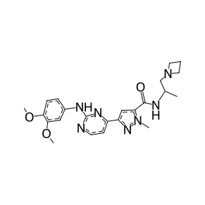 COc1ccc(Nc2nccc(-c3cc(C(=O)NC(C)CN4CCC4)n(C)n3)n2)cc1OC